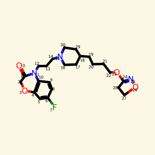 O=C1COc2cc(F)ccc2N1CCCN1CCC(CCCCOC2=NOCC2)CC1